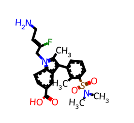 Cc1c(-c2c(C)n(CC(F)=CCN)c3ccc(C(=O)O)cc23)cccc1S(=O)(=O)N(C)C